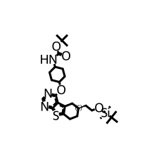 CC(C)(C)OC(=O)NC1CCC(Oc2ncnc3sc4c(c23)C[C@@H](CCO[Si](C)(C)C(C)(C)C)CC4)CC1